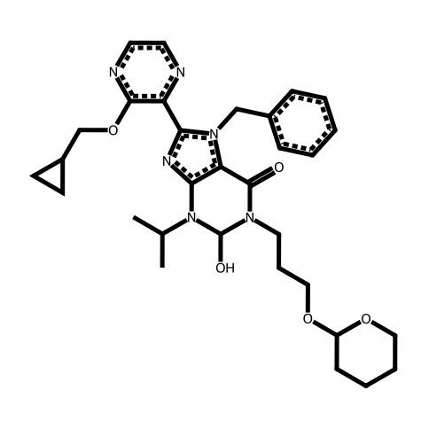 CC(C)N1c2nc(-c3nccnc3OCC3CC3)n(Cc3ccccc3)c2C(=O)N(CCCOC2CCCCO2)C1O